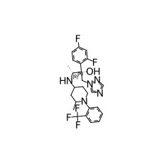 CC1CC(N[C@H](C)[C@](O)(Cn2cncn2)c2ccc(F)cc2F)CCN1c1ccccc1C(F)(F)F